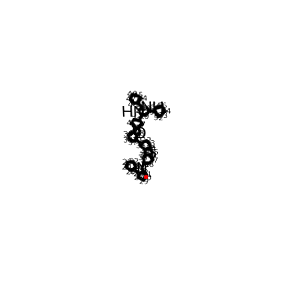 C1=C(c2ccc3c(c2)oc2c(-c4ccc5sc6ccc(-n7c8ccccc8c8ccccc87)cc6c5c4)cccc23)NC(c2ccccc2)NC1c1ccccc1